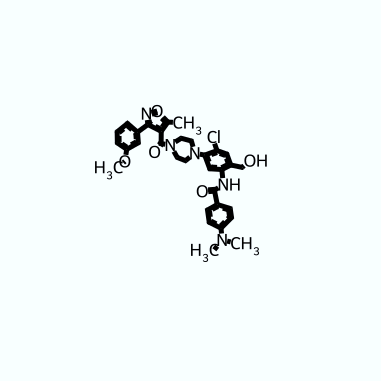 COc1cccc(-c2noc(C)c2C(=O)N2CCN(c3cc(NC(=O)c4ccc(N(C)C)cc4)c(CO)cc3Cl)CC2)c1